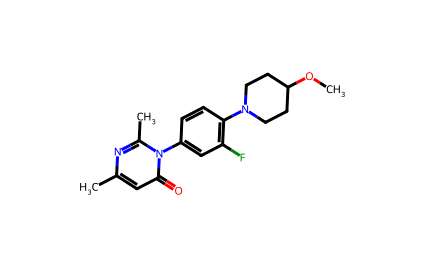 COC1CCN(c2ccc(-n3c(C)nc(C)cc3=O)cc2F)CC1